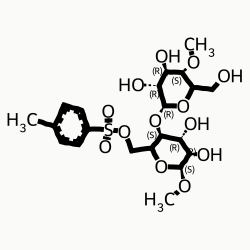 CO[C@H]1OC(COS(=O)(=O)c2ccc(C)cc2)[C@@H](O[C@H]2OC(CO)[C@@H](OC)[C@H](O)[C@H]2O)[C@H](O)[C@H]1O